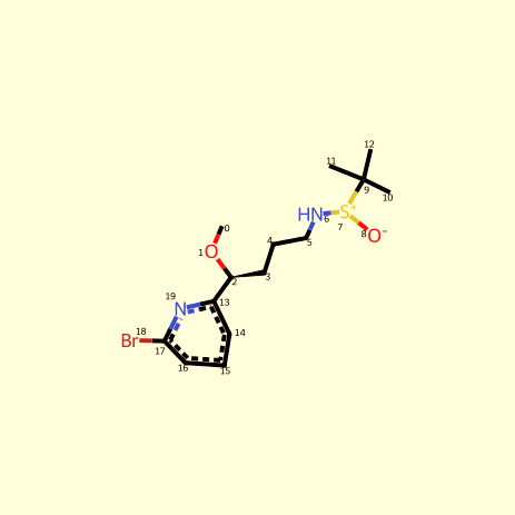 CO[C@@H](CCCN[S+]([O-])C(C)(C)C)c1cccc(Br)n1